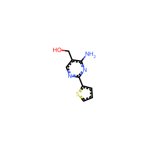 Nc1nc(-c2cccs2)ncc1CO